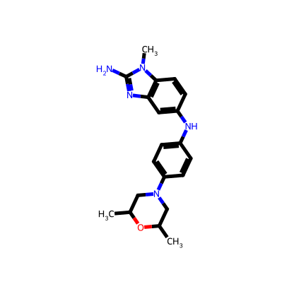 CC1CN(c2ccc(Nc3ccc4c(c3)nc(N)n4C)cc2)CC(C)O1